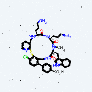 CN1C(=O)[C@H](CCCN)NC(=O)[C@H](CCCN)NCc2cccnc2Sc2c(Cl)ccc(-c3ccc(S(=O)(=O)O)cc3)c2CNC(=O)[C@@H]1Cc1c[nH]c2ccccc12